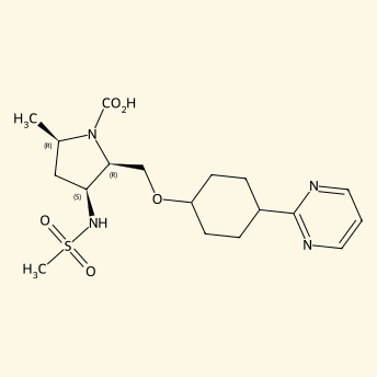 C[C@@H]1C[C@H](NS(C)(=O)=O)[C@H](COC2CCC(c3ncccn3)CC2)N1C(=O)O